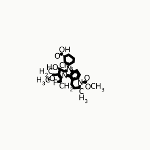 C=C(F)/C=C(\C(=C)OC)C(C)(O)c1nc2c3c(ccc2n1[C@@H]1CCC[C@@H](C(=O)O)C1)N(C(=O)OC)[C@@H](C)CC3